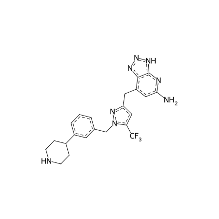 Nc1cc(Cc2cc(C(F)(F)F)n(Cc3cccc(C4CCNCC4)c3)n2)c2nn[nH]c2n1